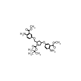 COC(=O)c1cc(OCC2CC(Oc3ccc(N)c(C(=O)OC)c3)CN2C(=O)OC(C)(C)C)ccc1N